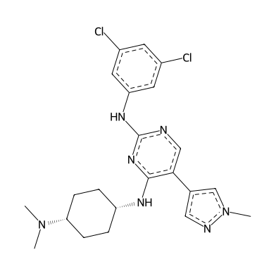 Cn1cc(-c2cnc(Nc3cc(Cl)cc(Cl)c3)nc2N[C@H]2CC[C@@H](N(C)C)CC2)cn1